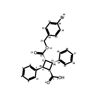 O=C(O)[C@H]1[C@@H](c2ccccc2)[C@H](C(=O)OCc2ccc(Br)cc2)[C@@H]1c1ccccc1